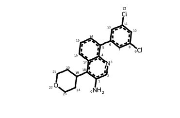 Nc1cnc2c(-c3cc(Cl)cc(Cl)c3)cccc2c1C1CCOCC1